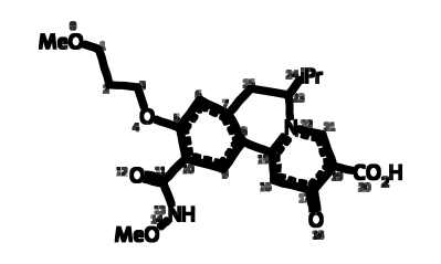 COCCCOc1cc2c(cc1C(=O)NOC)-c1cc(=O)c(C(=O)O)cn1C(C(C)C)C2